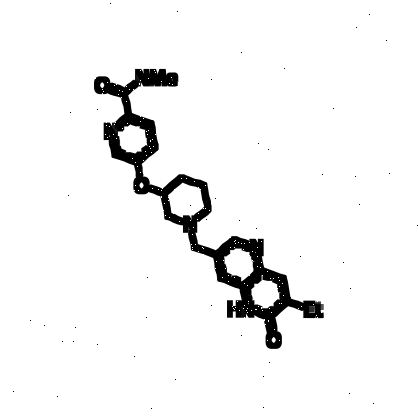 CCc1cc2ncc(CN3CCCC(Oc4ccc(C(=O)NC)nc4)C3)cc2[nH]c1=O